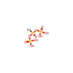 CCP(=O)(OP(=O)(O)O)OP(=O)(O)O